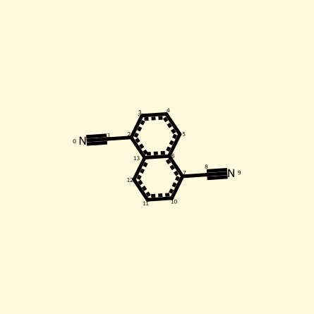 N#Cc1[c]ccc2c(C#N)cccc12